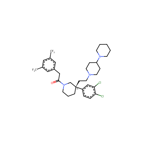 O=C(Cc1cc(C(F)(F)F)cc(C(F)(F)F)c1)N1CCC[C@@](CCN2CCC(N3CCCCC3)CC2)(c2ccc(Cl)c(Cl)c2)C1